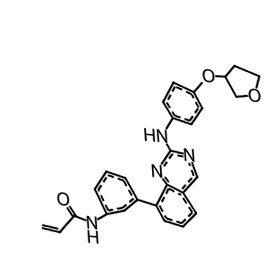 C=CC(=O)Nc1cccc(-c2cccc3cnc(Nc4ccc(OC5CCOC5)cc4)nc23)c1